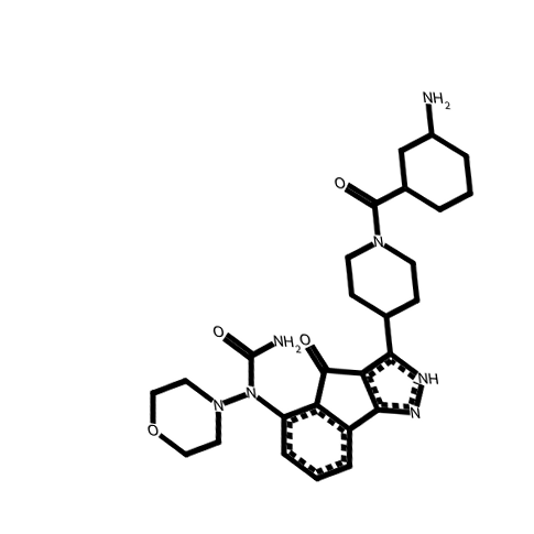 NC(=O)N(c1cccc2c1C(=O)c1c-2n[nH]c1C1CCN(C(=O)C2CCCC(N)C2)CC1)N1CCOCC1